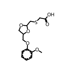 COc1ccccc1OCC1COC(CSCC(=O)O)O1